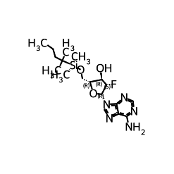 CCCC(C)(C)[Si](C)(C)OC[C@H]1O[C@@H](n2cnc3c(N)ncnc32)[C@@H](F)[C@@H]1O